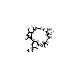 Cc1cc(C)c2cc1C(=O)NCCC(N)C(=O)NCC(C)(C)Sc1cc-2nc(N)n1